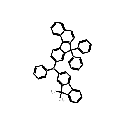 CC1(C)c2ccccc2-c2ccc(N(c3ccccc3)c3ccc4c(c3)C(c3ccccc3)(c3ccccc3)c3ccc5ccccc5c3-4)cc21